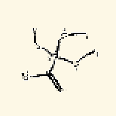 C=C(Br)[Si](OC)(OC)OC